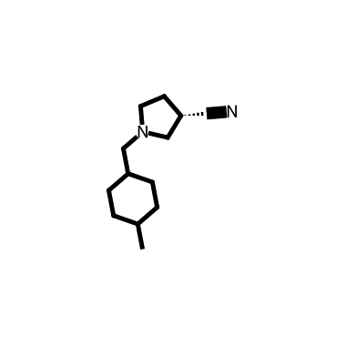 CC1CCC(CN2CC[C@H](C#N)C2)CC1